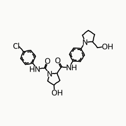 O=C(Nc1ccc(N2CCCC2CO)cc1)C1CC(O)CN1C(=O)Nc1ccc(Cl)cc1